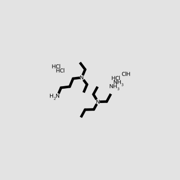 CCCN(CC)CC.CCN(CC)CCCN.Cl.Cl.Cl.Cl.N.N